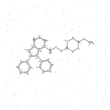 CCN1CCN(CCNc2ncnc3oc(-c4ccccc4)c(-c4ccccc4)c23)CC1